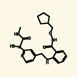 CNC(=O)N(S)c1cc(CNc2ccccc2C(=O)NOCC2CCCC2)ccn1